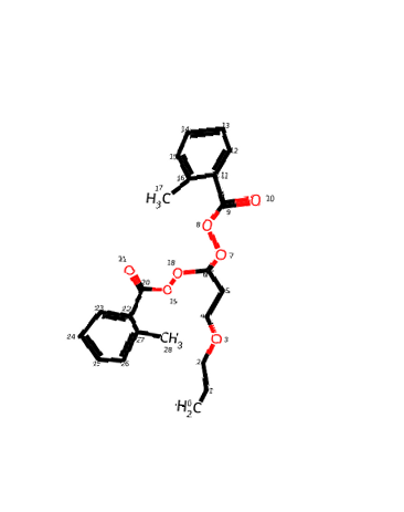 [CH2]CCOCC[C](OOC(=O)c1ccccc1C)OOC(=O)c1ccccc1C